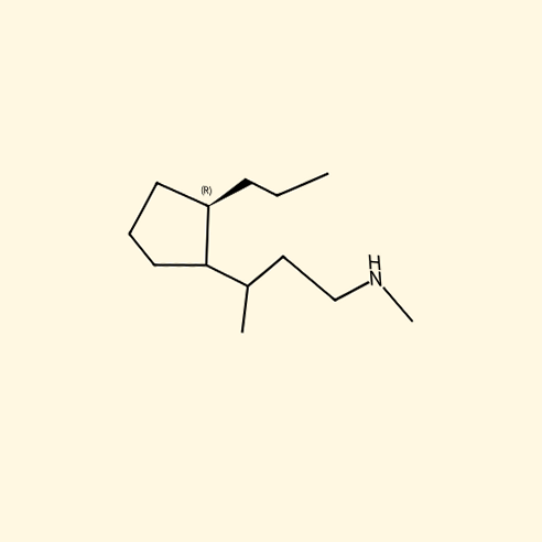 CCC[C@@H]1CCCC1C(C)CCNC